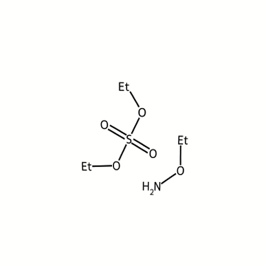 CCON.CCOS(=O)(=O)OCC